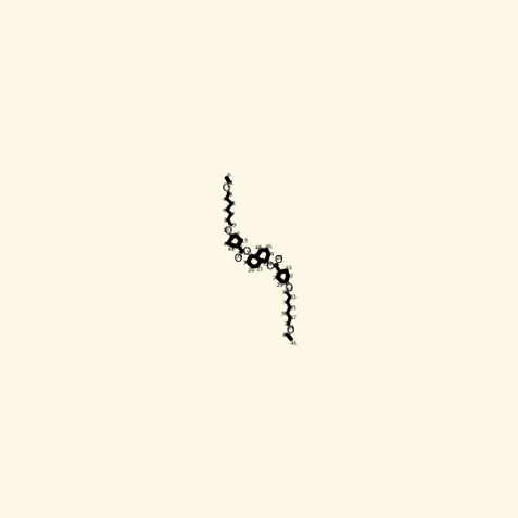 C=COCCCCCCCOc1ccc(C(=O)Oc2cccc3c(OC(=O)c4ccc(OCCCCCCCOC=C)cc4)cccc23)cc1